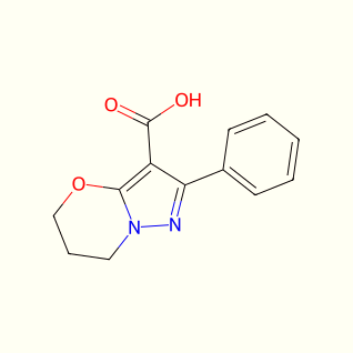 O=C(O)c1c(-c2ccccc2)nn2c1OCCC2